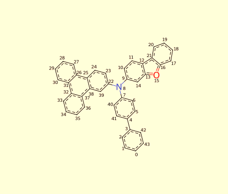 c1ccc(-c2ccc(N(c3ccc4c(c3)oc3ccccc34)c3ccc4c5ccccc5c5ccccc5c4c3)cc2)cc1